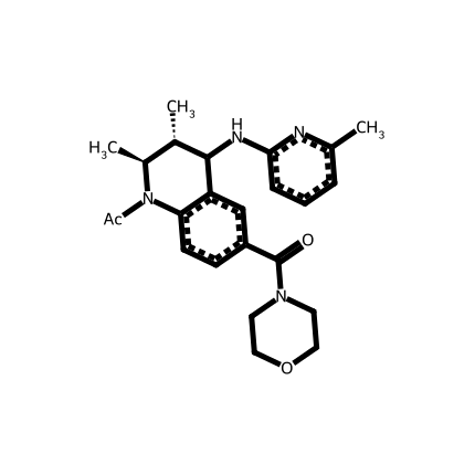 CC(=O)N1c2ccc(C(=O)N3CCOCC3)cc2C(Nc2cccc(C)n2)[C@@H](C)[C@@H]1C